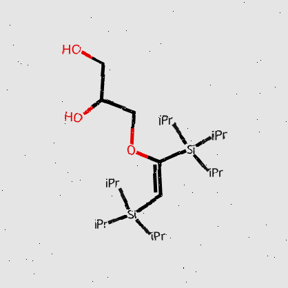 CC(C)[Si](C=C(OCC(O)CO)[Si](C(C)C)(C(C)C)C(C)C)(C(C)C)C(C)C